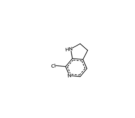 Clc1nccc2c1NCC2